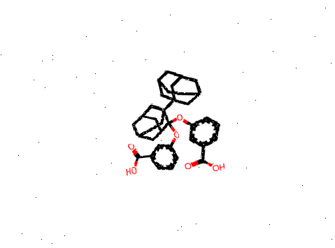 O=C(O)c1cccc(OC2(Oc3cccc(C(=O)O)c3)C3CC4CC(C3)CC2(C23CC5CC(CC(C5)C2)C3)C4)c1